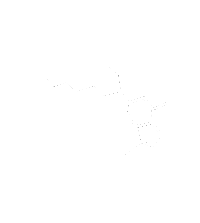 CCN(CCOCCOC)c1cc(=O)c2occ(Br)c2o1